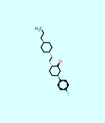 CCC[C@H]1CC[C@H](CC[C@H]2CC[C@H](c3ccc(F)cc3)CC2=O)CC1